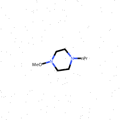 [CH2]CCN1CCN(OC)CC1